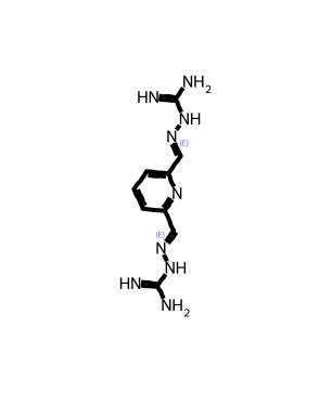 N=C(N)N/N=C/c1cccc(/C=N/NC(=N)N)n1